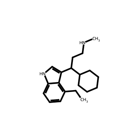 CCc1cccc2[nH]cc(C(CCNC)C3CCCCC3)c12